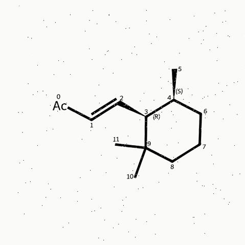 CC(=O)C=C[C@H]1[C@@H](C)CCCC1(C)C